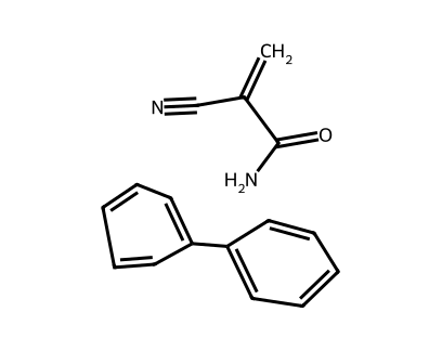 C=C(C#N)C(N)=O.c1ccc(-c2ccccc2)cc1